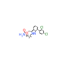 Cn1nc2c(-c3ccc(Cl)cc3Cl)cccc2c1COC(N)=O